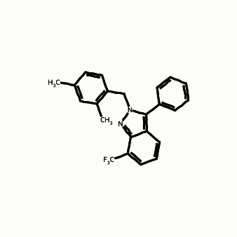 Cc1ccc(Cn2nc3c(C(F)(F)F)cccc3c2-c2ccccc2)c(C)c1